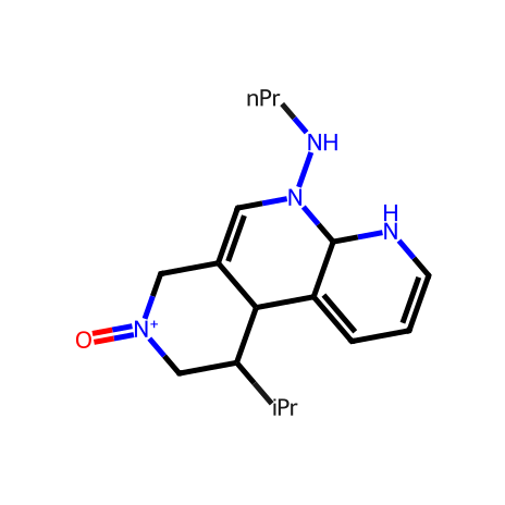 CCCNN1C=C2C[N+](=O)CC(C(C)C)C2C2=CC=CNC21